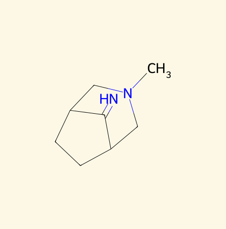 CN1CC2CCC(C1)C2=N